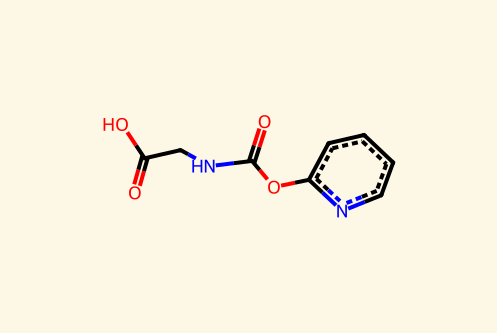 O=C(O)CNC(=O)Oc1ccccn1